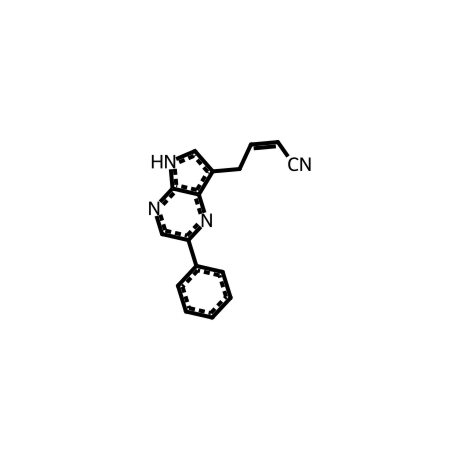 N#C/C=C\Cc1c[nH]c2ncc(-c3ccccc3)nc12